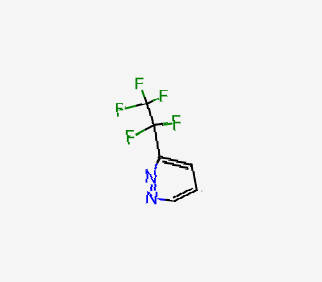 FC(F)(F)C(F)(F)c1c[c]cnn1